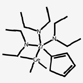 CC[N](CC)[Zr]([C]1=CC=CC1)([N](CC)CC)([N](CC)CC)[Ge]([CH3])([CH3])[CH3]